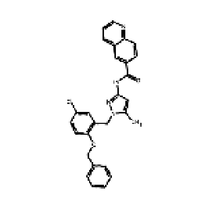 Cc1cc(NC(=O)c2ccc3ncccc3c2)nn1Cc1cc(Cl)ccc1OCc1ccccc1